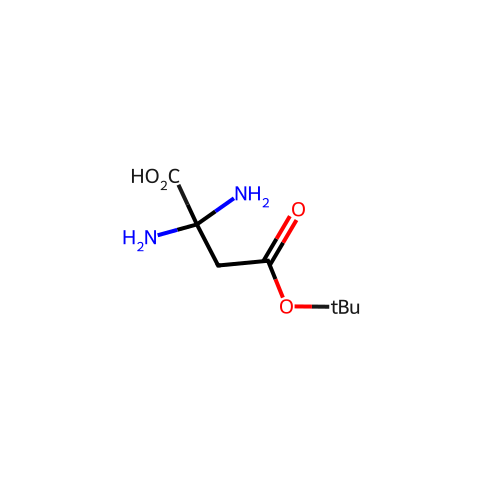 CC(C)(C)OC(=O)CC(N)(N)C(=O)O